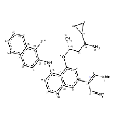 CN/C=C(\C=N)c1cc(O[C@H](C)CN(C)C2CC2)c2c(Nc3ccc4ncccc4c3F)ncnc2c1